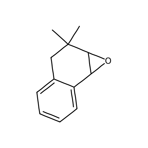 CC1(C)Cc2ccccc2C2OC21